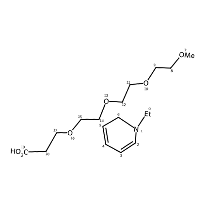 CCN1C=CC=CC1.COCCOCCOCCOCCC(=O)O